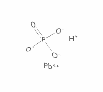 O=P([O-])([O-])[O-].[H+].[Pb+4]